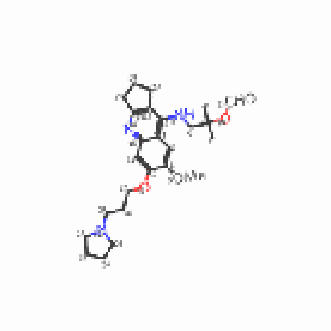 COc1cc2c(NCC(C)(C)OC=O)c3c(nc2cc1OCCCN1CCCC1)CCC3